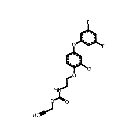 C#CCOC(=O)NCCOc1ccc(Oc2cc(F)cc(F)c2)cc1Cl